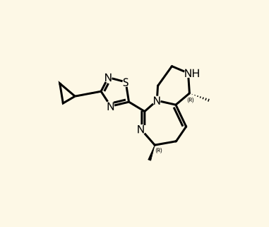 C[C@@H]1CC=C2[C@@H](C)NCCN2C(c2nc(C3CC3)ns2)=N1